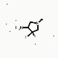 CN1CC(N)C(F)(F)C1